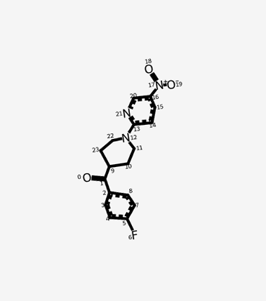 O=C(c1ccc(F)cc1)C1CCN(c2ccc([N+](=O)[O-])cn2)CC1